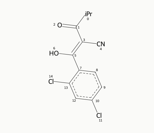 CC(C)C(=O)/C(C#N)=C(\O)c1ccc(Cl)cc1Cl